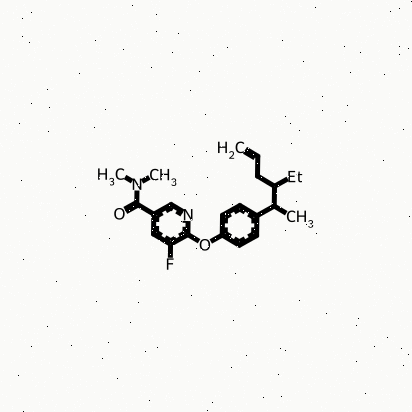 C=CCC(CC)C(C)c1ccc(Oc2ncc(C(=O)N(C)C)cc2F)cc1